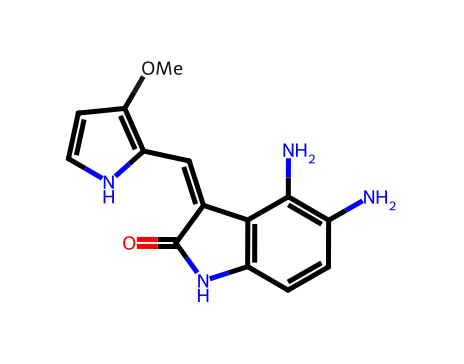 COc1cc[nH]c1C=C1C(=O)Nc2ccc(N)c(N)c21